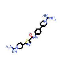 N=C(N)N1CC=C(c2ccc(NC(=O)c3cnc(C4=CCN(C(=N)N)CC4)s3)cc2)CC1